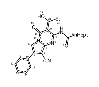 CCCCCCCC(=O)Nc1nc2c(C#N)c(-c3ccccc3)cn2c(=O)/c1=C(\O)CC